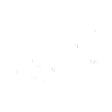 CC(C)(C)OC(=O)N1CCC(c2c[nH]c3cc(Br)cnc23)CC1